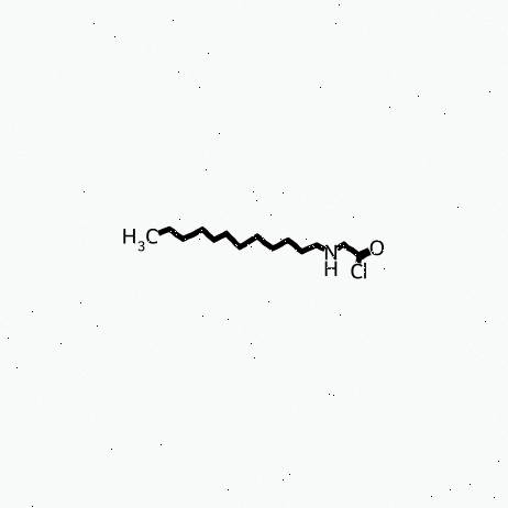 CCCCCCCCCCCCNCC(=O)Cl